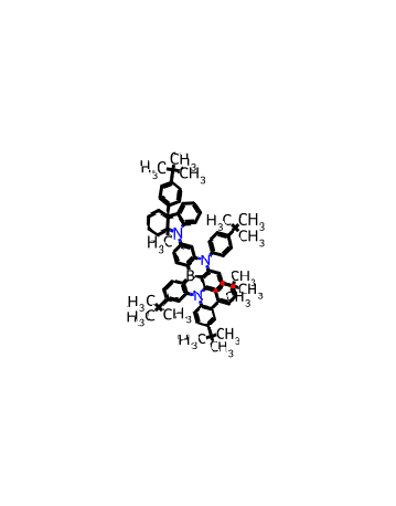 CC(C)(C)c1ccc(N2c3cc(N4c5ccccc5C5(c6ccc(C(C)(C)C)cc6)CCCCC45C)ccc3B3c4ccc(C(C)(C)C)cc4N(c4ccc(C(C)(C)C)cc4-c4ccccc4)c4cc(C(C)(C)C)cc2c43)cc1